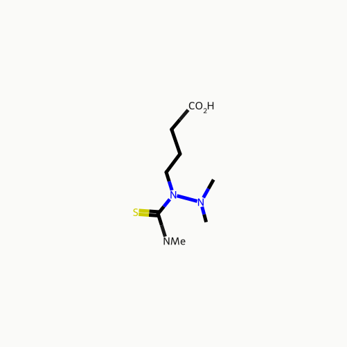 CNC(=S)N(CCCC(=O)O)N(C)C